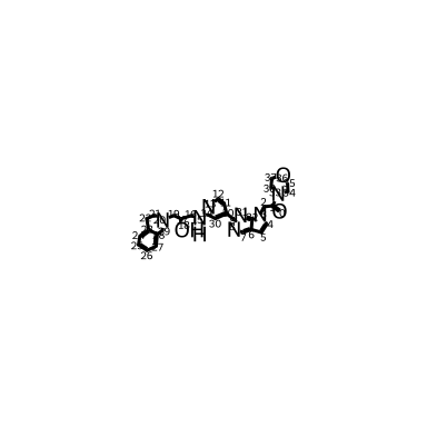 O=C(Cn1ccc2cnc(-c3ccnc(NCC(O)CN4CCc5ccccc5C4)c3)nc21)N1CCOCC1